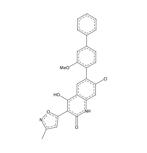 COc1cc(-c2ccccc2)ccc1-c1cc2c(O)c(-c3cc(C)no3)c(=O)[nH]c2cc1Cl